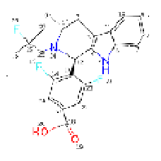 C[C@@H]1Cc2c([nH]c3ccccc23)[C@@H](c2c(F)cc(C(=O)O)cc2F)N1CC(C)(C)F